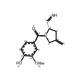 C=C1C[C@@H](C=N)N(C(=O)c2ccc(O)c(OC)c2)C1